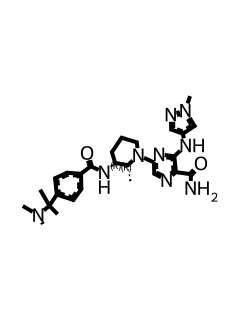 C[C@@H]1[C@H](NC(=O)c2ccc(C(C)(C)N(C)C)cc2)CCCN1c1cnc(C(N)=O)c(Nc2cnn(C)c2)n1